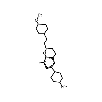 CCCC1CCC(c2cc(F)c3c(c2)CCC(CCC2CCC(OCC)CC2)O3)CC1